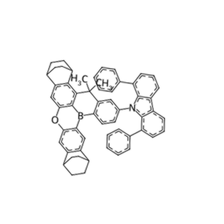 CC1(C)c2cc(-n3c4c(-c5ccccc5)cccc4c4cccc(-c5ccccc5)c43)ccc2B2c3cc4c(cc3Oc3cc5c(c1c32)C1CCC5CC1)C1CCC4CC1